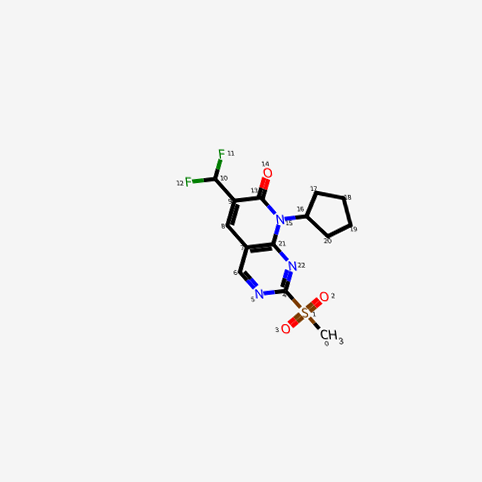 CS(=O)(=O)c1ncc2cc(C(F)F)c(=O)n(C3CCCC3)c2n1